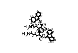 NCCCCC(C(=O)OCC1c2ccccc2-c2ccccc21)C(=O)OC(=O)C(CCCCN)C(=O)OCC1c2ccccc2-c2ccccc21